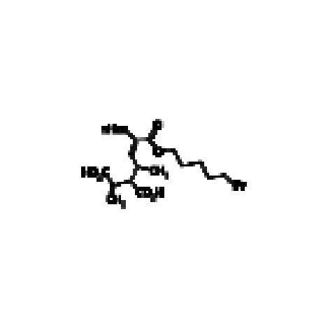 C=C(C(=O)O)C(C(=O)O)C(C)C=C(CCCCCC)C(=O)OCCCCCC(C)C